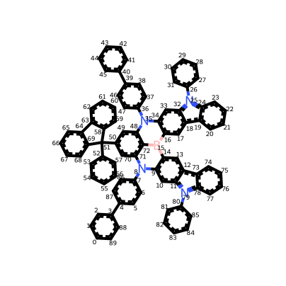 c1ccc(-c2ccc(N3c4cc5c(cc4B4c6cc7c8ccccc8n(-c8ccccc8)c7cc6N(c6ccc(-c7ccccc7)cc6)c6cc(C7(c8ccccc8)c8ccccc8-c8ccccc87)cc3c64)c3ccccc3n5-c3ccccc3)cc2)cc1